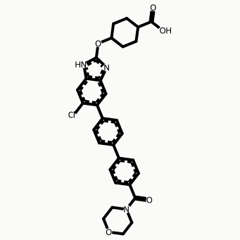 O=C(O)C1CCC(Oc2nc3cc(-c4ccc(-c5ccc(C(=O)N6CCOCC6)cc5)cc4)c(Cl)cc3[nH]2)CC1